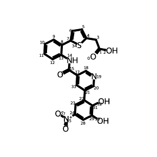 O=C(O)Cc1ccc(-c2ccccc2NC(=O)c2cncc(-c3cc([N+](=O)[O-])cc(O)c3O)c2)s1